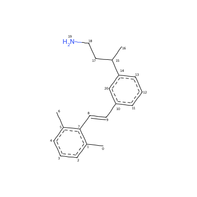 Cc1cccc(C)c1/C=C/c1cccc(C(C)CCN)c1